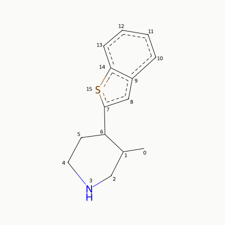 CC1CNCCC1c1cc2ccccc2s1